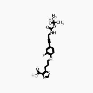 CC(C)(C)OC(=O)NCC#Cc1ccc(OCCCc2scnc2C(=O)O)c(F)c1